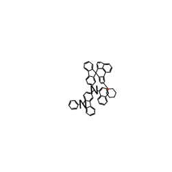 c1ccc(-n2c3ccccc3c3cc(N(c4ccc5c(c4)C4(c6ccccc6-5)c5ccc(C6CCCCC6)cc5-c5cccc6cccc4c56)c4cccc5ccccc45)ccc32)cc1